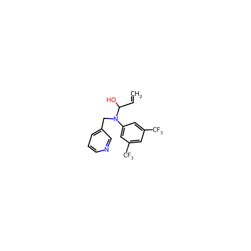 C=CC(O)N(Cc1cccnc1)c1cc(C(F)(F)F)cc(C(F)(F)F)c1